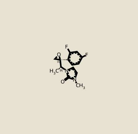 C[C@@H](n1ccn(C)c1=O)[C@@]1(c2ccc(F)cc2F)CO1